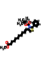 COC(=O)CCCCCCCC/C=C/C1CS[C@H](c2ccccc2)N1C(=O)OC(C)(C)C